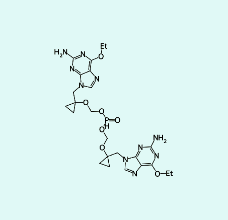 CCOc1nc(N)nc2c1ncn2CC1(OCO[PH](=O)OCOC2(Cn3cnc4c(OCC)nc(N)nc43)CC2)CC1